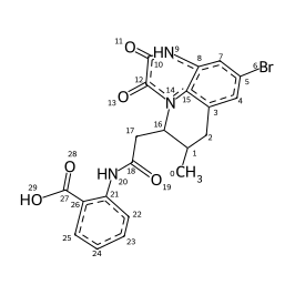 CC1Cc2cc(Br)cc3[nH]c(=O)c(=O)n(c23)C1CC(=O)Nc1ccccc1C(=O)O